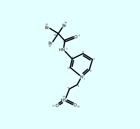 O=C(Nc1ccc[n+](CC[SH](=O)=O)c1)C(Br)(Br)Br